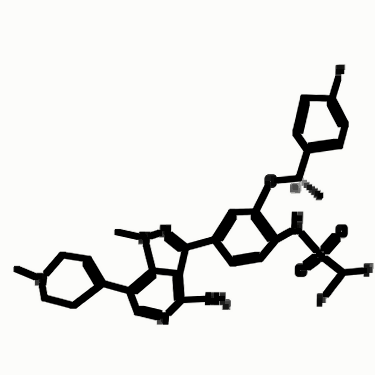 C[C@H](Oc1cc(-c2nn(C)c3c(C4=CCN(C)CC4)cnc(N)c23)ccc1NS(=O)(=O)C(F)F)c1ccc(F)cc1